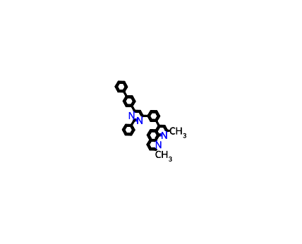 Cc1ccc2ccc3c(-c4cccc(-c5cc(-c6ccc(-c7ccccc7)cc6)nc(-c6ccccc6)n5)c4)cc(C)nc3c2n1